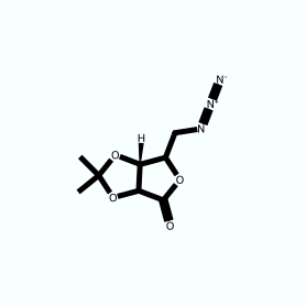 CC1(C)OC2C(=O)OC(CN=[N+]=[N-])[C@H]2O1